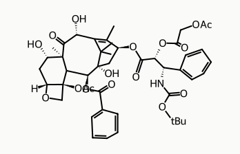 CC(=O)OCC(=O)O[C@@H](C(=O)O[C@H]1C[C@@]2(O)[C@@H](OC(=O)c3ccccc3)C3[C@](C)(C(=O)[C@H](O)C(=C1C)C2(C)C)[C@@H](O)C[C@H]1OC[C@@]31OC(C)=O)[C@@H](NC(=O)OC(C)(C)C)c1ccccc1